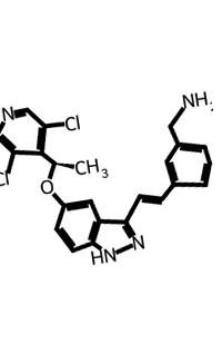 C[C@@H](Oc1ccc2[nH]nc(/C=C/c3cccc(CN)c3)c2c1)c1c(Cl)cncc1Cl